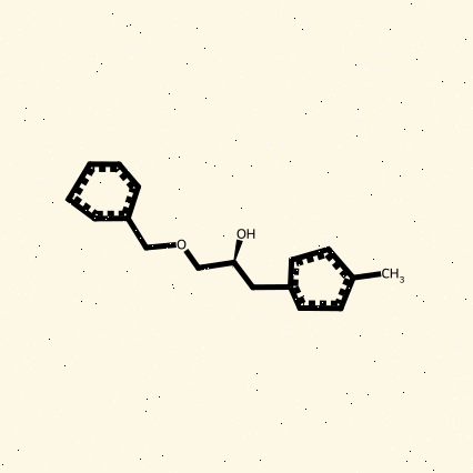 Cc1ccc(C[C@H](O)COCc2ccccc2)cc1